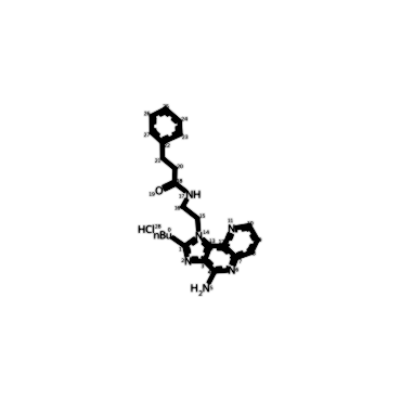 CCCCc1nc2c(N)nc3cccnc3c2n1CCNC(=O)CCc1ccccc1.Cl